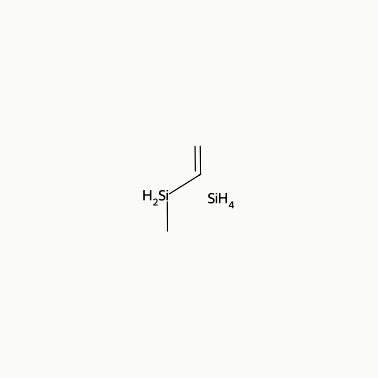 C=C[SiH2]C.[SiH4]